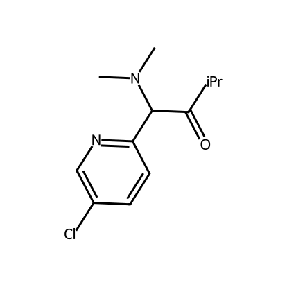 CC(C)C(=O)C(c1ccc(Cl)cn1)N(C)C